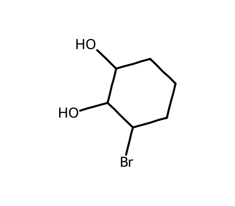 OC1CCCC(Br)C1O